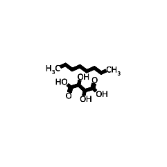 CCCCCCCC.O=C(O)C(O)C(O)C(=O)O